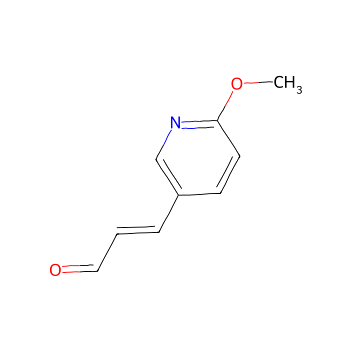 COc1ccc(C=CC=O)cn1